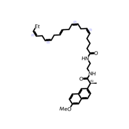 CC/C=C\C/C=C\CC=CC/C=C\C/C=C\CCCC(=O)NCCNC(=O)[C@@H](C)c1ccc2cc(OC)ccc2c1